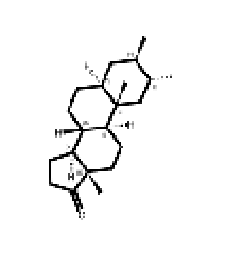 C[C@@H]1C[C@@H]2CC[C@@H]3[C@H](CC[C@]4(C)C(=O)CC[C@@H]34)[C@@]2(C)C[C@H]1C